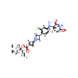 CC(C)(C)OC(=O)[C@H]1C[C@@H](N2CC(c3ccc(NC4CCC(=O)NC4=O)cc3F)C2)C1